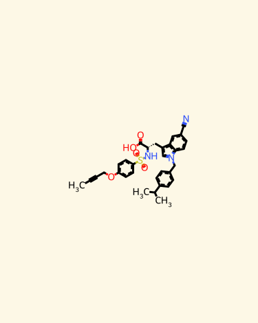 CC#CCOc1ccc(S(=O)(=O)N[C@@H](Cc2cn(Cc3ccc(C(C)C)cc3)c3ccc(C#N)cc23)C(=O)O)cc1